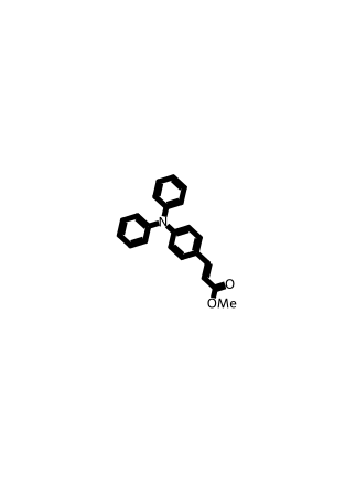 COC(=O)C=Cc1ccc(N(c2ccccc2)c2ccccc2)cc1